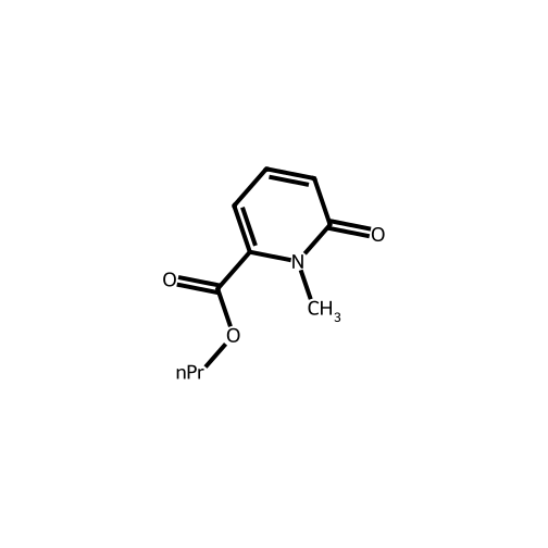 CCCOC(=O)c1cccc(=O)n1C